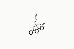 C=CCCC1(CC=C)CC(=O)OC1=O